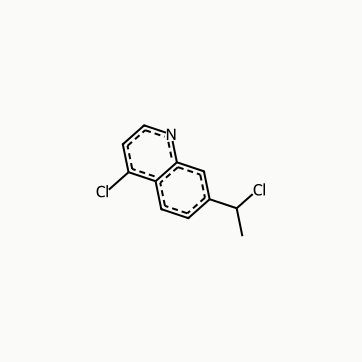 CC(Cl)c1ccc2c(Cl)ccnc2c1